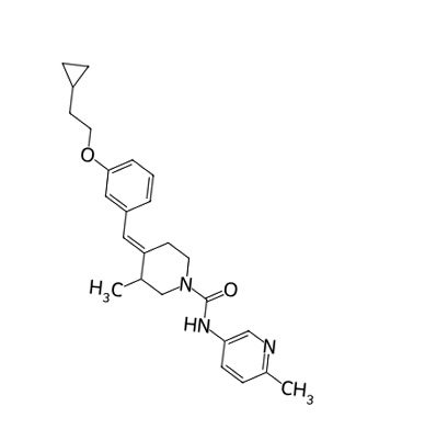 Cc1ccc(NC(=O)N2CC/C(=C\c3cccc(OCCC4CC4)c3)C(C)C2)cn1